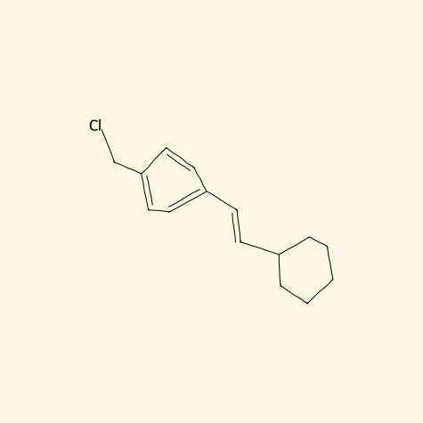 ClCc1ccc(/C=C/C2CCCCC2)cc1